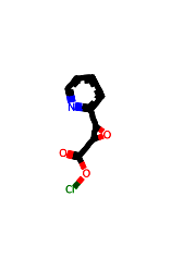 O=C(OCl)C1OC1c1ccccn1